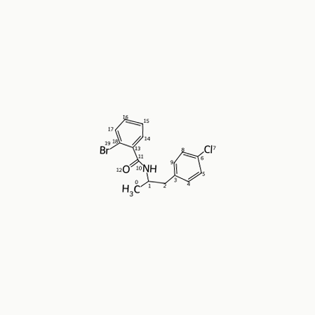 CC(Cc1ccc(Cl)cc1)NC(=O)c1ccccc1Br